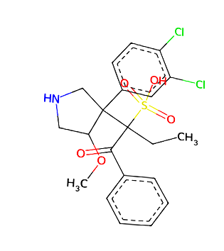 CCC(C(=O)c1ccccc1)(C1(c2ccc(Cl)c(Cl)c2)CNCC1OC)S(=O)(=O)O